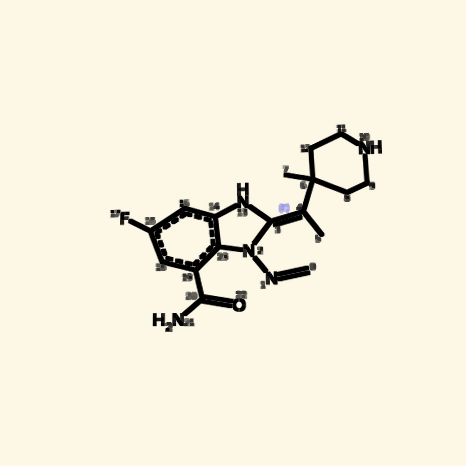 C=NN1/C(=C(\C)C2(C)CCNCC2)Nc2cc(F)cc(C(N)=O)c21